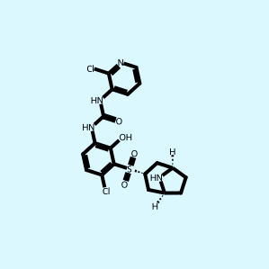 O=C(Nc1cccnc1Cl)Nc1ccc(Cl)c(S(=O)(=O)[C@@H]2C[C@H]3CC[C@@H](C2)N3)c1O